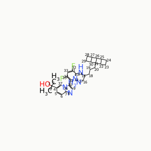 CC(C)(O)c1ccc2ncc(-c3nc(NC(CN)CCCC45C6CCC6C4C4CCC45)c(F)cc3F)n2c1